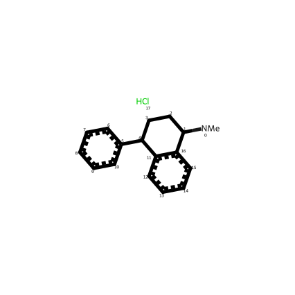 CNC1CCC(c2ccccc2)c2ccccc21.Cl